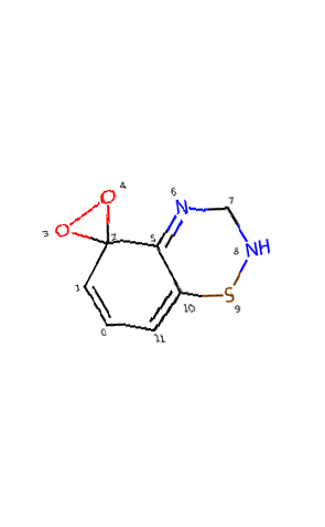 C1=CC2(OO2)C2=NCNSC2=C1